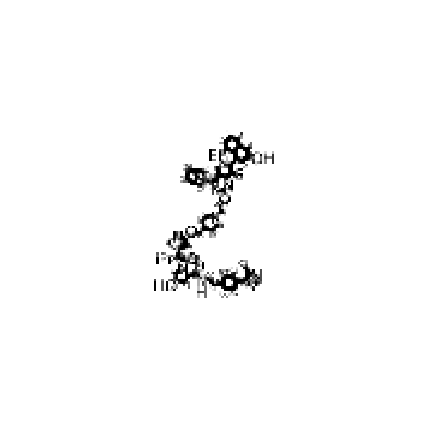 CCc1cccc2cc(O)cc(-c3ncc4c(N5CC6CCC(C5)N6)nc(OCCN5CCC(COc6cc([C@@H](C(=O)N7CC(O)CC7C(=O)NCCc7ccc(-c8scnc8C)cc7)C(C)C)on6)CC5)nc4c3F)c12